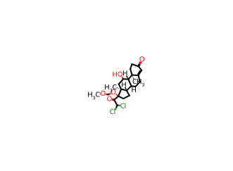 COCO[C@]1(C(=O)C(Cl)Cl)CC[C@H]2[C@@H]3CCC4=CC(=O)CC[C@]4(C)[C@H]3C(O)C[C@@]21C